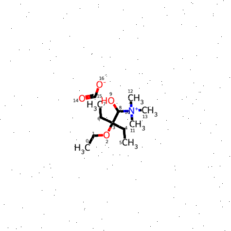 CCOC(CC)(CC)C(O)[N+](C)(C)C.O=C[O-]